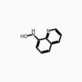 ONc1cccc2cccnc12